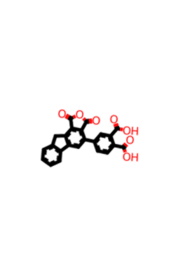 O=C(O)c1ccc(-c2cc3c(c4c2C(=O)OC4=O)Cc2ccccc2-3)cc1C(=O)O